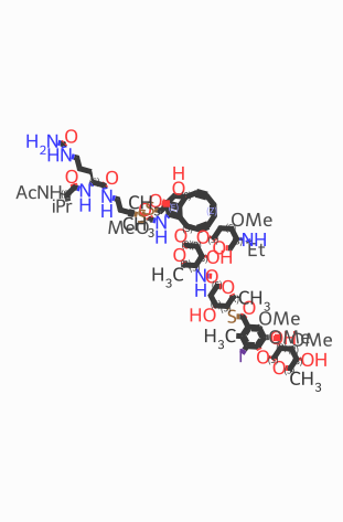 CCN[C@H]1CO[C@@H](O[C@H]2[C@H](O[C@H]3C#C/C=C\C#C[C@]4(O)CC(=O)C(NC(=O)OC)=C3/C4=C\CSSC(C)(C)CCNC(=O)[C@H](CCCNC(N)=O)NC(=O)[C@@H](NC(C)=O)C(C)C)O[C@H](C)[C@@H](NO[C@H]3C[C@H](O)[C@H](SC(=O)c4c(C)c(I)c(O[C@@H]5O[C@@H](C)[C@H](O)[C@@H](OC)[C@H]5O)c(OC)c4OC)[C@@H](C)O3)[C@@H]2O)C[C@@H]1OC